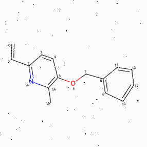 C=Cc1ccc(OCc2ccccc2)c(C)n1